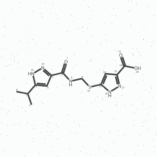 CC(C)c1cc(C(=O)NCSc2cc(C(=O)O)n[nH]2)n[nH]1